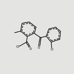 Cc1cccc(C(=O)c2ccccc2Cl)c1C(=O)Cl